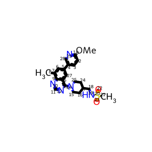 COc1ccc(-c2cc(C)c3ncnc(N4CCC(CNS(C)(=O)=O)CC4)c3c2)cn1